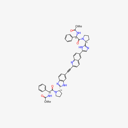 COC(=O)N[C@@H](C(=O)N1CCC[C@H]1c1ncc(-c2ccc3nc(C#Cc4ccc5nc([C@@H]6CCCN6C(=O)[C@H](NC(=O)OC)c6ccccc6)[nH]c5c4)ccc3c2)[nH]1)c1ccccc1